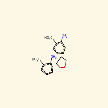 C1CCOC1.Nc1ccccc1C(=O)O.Nc1ccccc1C(=O)O